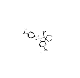 NC(=O)c1ccc(S(=O)(=O)N2c3ccc(C(=O)O)cc3C3(CCSCC3)C2C2CC2)cc1